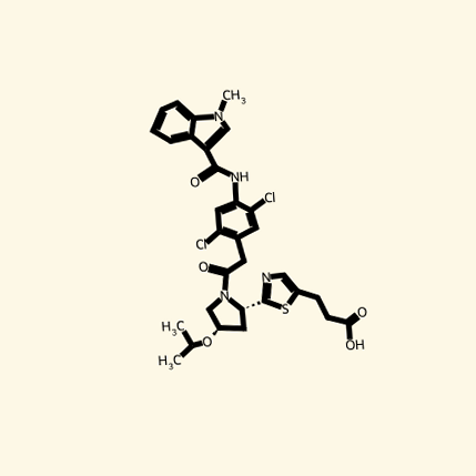 CC(C)O[C@H]1C[C@@H](c2ncc(CCC(=O)O)s2)N(C(=O)Cc2cc(Cl)c(NC(=O)c3cn(C)c4ccccc34)cc2Cl)C1